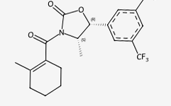 CC1=C(C(=O)N2C(=O)O[C@H](c3cc(C(F)(F)F)cc(C(F)(F)F)c3)[C@@H]2C)CCCC1